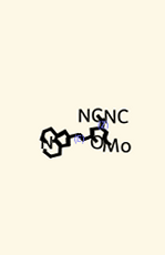 [C-]#[N+]/C(C#N)=C1\C=[C]([Mo])OC(/C=C/c2cc3c4c(c2)CCCN4CCC3)=C1